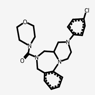 O=C(N1CCOCC1)N1Cc2ccccc2N2CCN(c3ccc(Cl)cc3)CC2C1